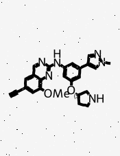 C#Cc1cc(OC)c2nc(Nc3cc(O[C@H]4CCNC4)cc(-c4cnn(C)c4)c3)ncc2c1